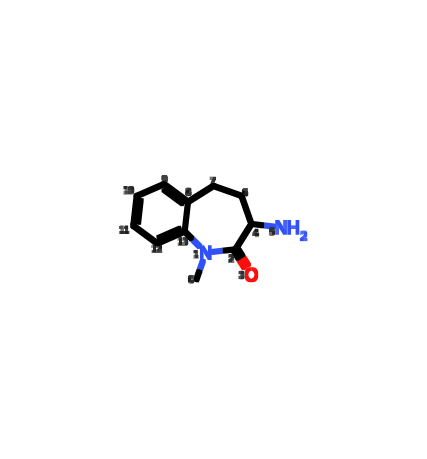 CN1C(=O)C(N)CCc2ccccc21